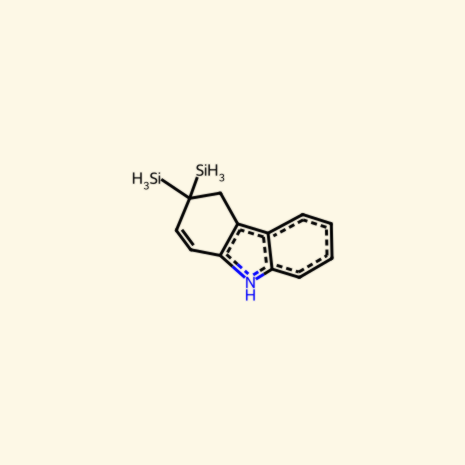 [SiH3]C1([SiH3])C=Cc2[nH]c3ccccc3c2C1